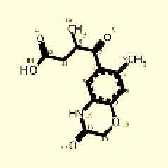 Cc1cc2c(cc1C(=O)C(C)CC(=O)O)NC(=O)CO2